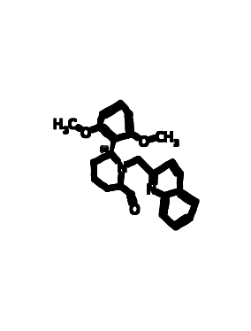 COc1cccc(OC)c1[C@@H]1CCCC(C=O)N1Cc1ccc2ccccc2n1